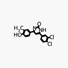 Cc1cc(-c2cc(-c3ccc(Cl)c(Cl)c3)[nH]c(=O)n2)ccc1O